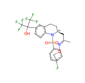 CCON=C(C)C[C@@H]1CCc2cc(C(O)(C(F)(F)F)C(F)(F)F)ccc2N1S(=O)(=O)c1ccc(F)cc1